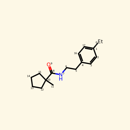 CCc1ccc(CCNC(=O)C2(C)CCCC2)cc1